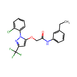 CCc1cccc(NC(=O)COc2cc(C(F)(F)F)nn2-c2ccccc2Cl)c1